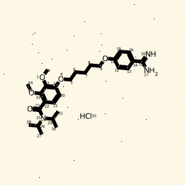 COc1c(OCCCCCOc2ccc(C(=N)N)cc2)ccc(C(=O)N(C(C)C)C(C)C)c1OC.Cl